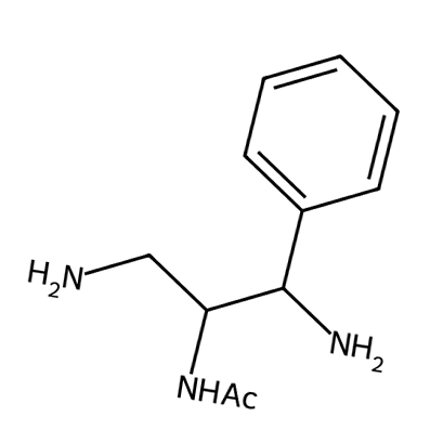 CC(=O)NC(CN)C(N)c1ccccc1